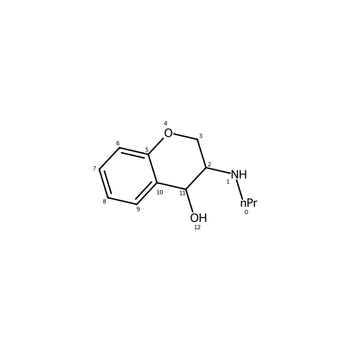 CCCNC1COc2ccccc2C1O